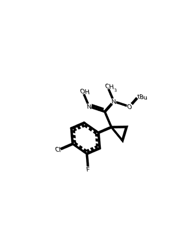 CN(OC(C)(C)C)/C(=N\O)C1(c2ccc(Cl)c(F)c2)CC1